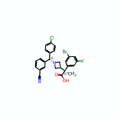 C[C@@](C(=O)O)(c1cc(F)cc(Br)c1)C1CN([C@@H](c2ccc(Cl)cc2)c2cccc(C#N)c2)C1